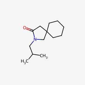 CC(C)CN1CC2(CCCCC2)CC1=O